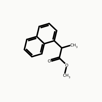 COC(=O)[C](C)c1cccc2ccccc12